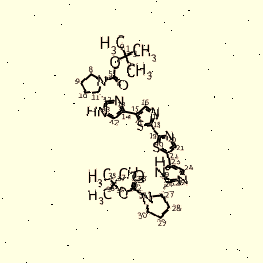 CC(C)(C)OC(=O)N1CCC[C@H]1c1nc(-c2cnc(-c3ncc(-c4cnc([C@@H]5CCCN5C(=O)OC(C)(C)C)[nH]4)s3)s2)c[nH]1